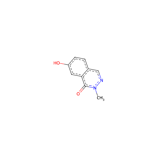 Cn1ncc2ccc(O)cc2c1=O